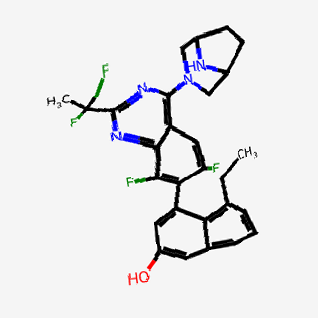 CCc1cccc2cc(O)cc(-c3c(F)cc4c(N5CC6CCC(C5)N6)nc(C(C)(F)F)nc4c3F)c12